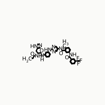 C=CC(=O)NC(Cc1cnc[nH]1)C(=O)Nc1cccc(Nc2ncc(NC(=O)c3cc(NC(=O)c4cccc(C(F)(F)F)c4)ccc3C)cn2)c1